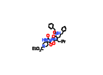 CCOC(=O)N1CCC2(CC1)NC(=O)N(NC(=O)[C@H](CC(C)C)[C@H](CCCc1ccccc1)C(=O)NOCc1ccccc1)C2=O